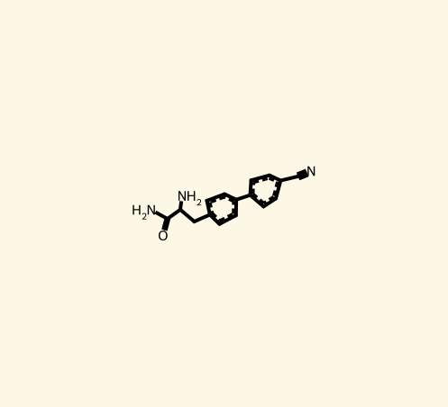 N#Cc1ccc(-c2ccc(CC(N)C(N)=O)cc2)cc1